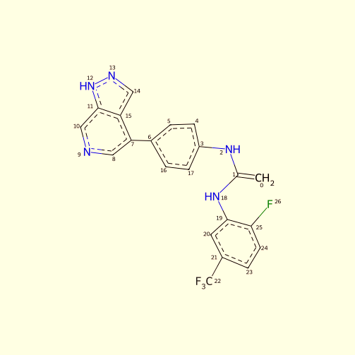 C=C(Nc1ccc(-c2cncc3[nH]ncc23)cc1)Nc1cc(C(F)(F)F)ccc1F